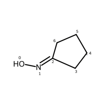 ON=C1C[CH]CC1